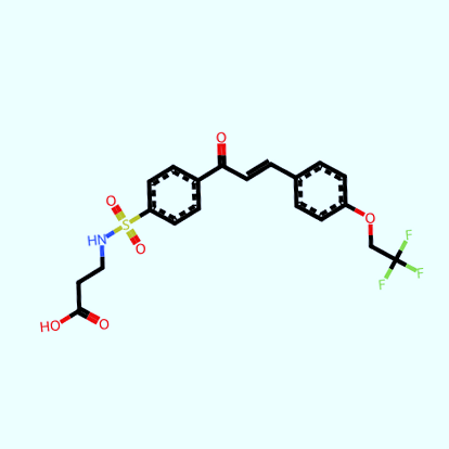 O=C(O)CCNS(=O)(=O)c1ccc(C(=O)/C=C/c2ccc(OCC(F)(F)F)cc2)cc1